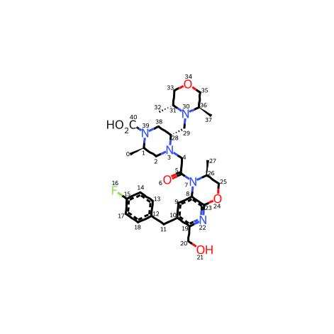 C[C@@H]1CN(CC(=O)N2c3cc(Cc4ccc(F)cc4)c(CO)nc3OC[C@@H]2C)[C@@H](CN2[C@H](C)COC[C@H]2C)CN1C(=O)O